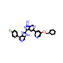 Fc1ccc(-c2cncc3[nH]c(-c4n[nH]c5cnc(-c6cncc(OCc7ccccc7)c6)cc45)nc23)cc1